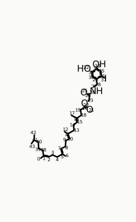 C/C(=C/CC/C(C)=C/CC/C=C(\C)CC/C=C(\C)CCC(=O)OCC(=O)NCCc1cc(O)c(O)cc1I)CCCC(C)C